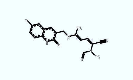 C/C(=C\C=C(\C#N)N(C)C=O)NCc1cc2cc(Cl)ccc2[nH]c1=O